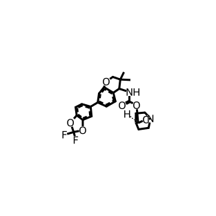 CC1(C)COc2cc(-c3ccc4c(c3)OC(F)(F)O4)ccc2C1NC(=O)O[C@H]1CN2CCC1CC2